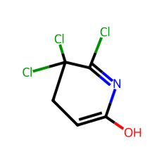 OC1=CCC(Cl)(Cl)C(Cl)=N1